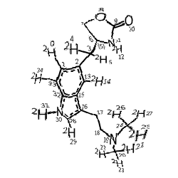 [2H]c1c(C([2H])([2H])[C@H]2COC(=O)N2[2H])c([2H])c2c(CCN(C([2H])([2H])[2H])C([2H])([2H])[2H])c([2H])n([2H])c2c1[2H]